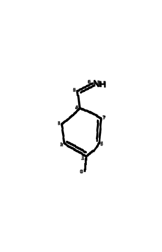 CC1=CCC(C=N)C=C1